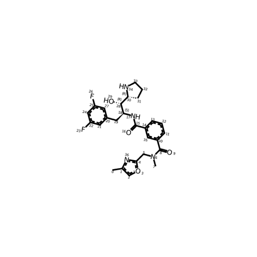 Cc1coc(CN(C)C(=O)c2cccc(C(=O)N[C@@H](Cc3cc(F)cc(F)c3)[C@H](O)[C@H]3CCCN3)c2)n1